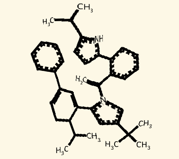 C=C(c1ccccc1-c1ccc(C(C)C)[nH]1)n1cc(C(C)(C)C)cc1C1=CC(c2ccccc2)=CCC1C(C)C